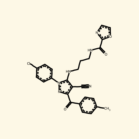 Cc1ccc(C(=O)c2nn(-c3ccc(Cl)cc3)c(NCCCNC(=O)c3ncco3)c2C#N)cc1